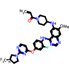 C=CC(=O)N1CCC(Nc2cc3c(Nc4ccc(Oc5ccnc(N6CC[C@@H](C(F)(F)F)C6)n5)cc4F)ncnc3cc2OC)CC1